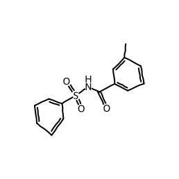 Cc1cccc(C(=O)NS(=O)(=O)c2ccccc2)c1